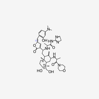 C=C1C(NC(C)C(=O)N2CCOCC2)CC2[C@](C)(CC[C@@H](O)[C@@]2(C)CO)C1CC(NC(C)C(=O)NC1=NCC=N1)C1=C/C(=C\c2ccc(N(C)C)cc2O)OC1=O